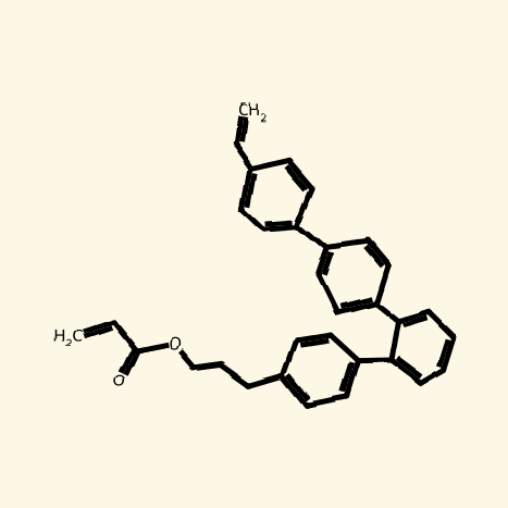 C=CC(=O)OCCCc1ccc(-c2ccccc2-c2ccc(-c3ccc(C=C)cc3)cc2)cc1